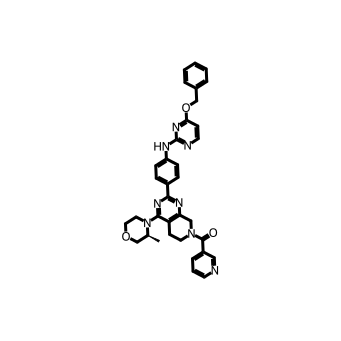 C[C@H]1COCCN1c1nc(-c2ccc(Nc3nccc(OCc4ccccc4)n3)cc2)nc2c1CCN(C(=O)c1cccnc1)C2